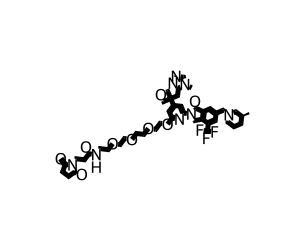 C[C@H]1CCCN(Cc2cc3c(c(C(F)(F)F)c2)CN(c2cc(C4(Cc5nncn5C)COC4)cc(OCCOCCOCCOCCNC(=O)CCN4C(=O)CCC4=O)n2)C3=O)C1